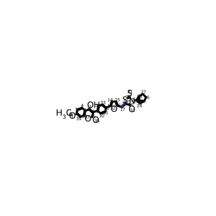 COc1ccc2c(O)c(-c3ccc(-c4ccc(/C=C5\SC(=S)N(C6CC7CCC6C7)C5=O)o4)cc3)c(=O)oc2c1